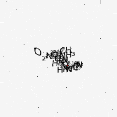 CC(NC(=O)c1nc2cc3c(-c4ccncc4)n[nH]c3cc2[nH]1)c1ccc([N+](=O)[O-])cc1